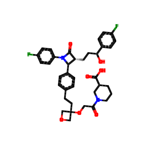 O=C(O)C1CCCN(C(=O)COC2(CCc3ccc(C4[C@@H](CCC(O)c5ccc(F)cc5)C(=O)N4c4ccc(F)cc4)cc3)COC2)C1